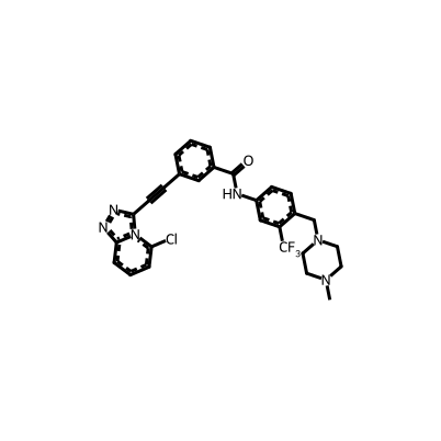 CN1CCN(Cc2ccc(NC(=O)c3cccc(C#Cc4nnc5cccc(Cl)n45)c3)cc2C(F)(F)F)CC1